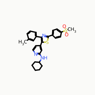 Cc1cccc(-c2nc(-c3ccc(S(C)(=O)=O)cc3)sc2-c2ccnc(NC3CCCCC3)c2)c1